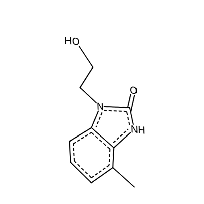 Cc1cccc2c1[nH]c(=O)n2CCO